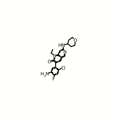 CCn1c(=O)c(-c2cc(N)c(F)cc2Cl)cc2cnc(NC3CCOCC3)cc21